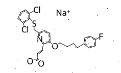 O=C([O-])C=Cc1nc(CSc2c(Cl)cccc2Cl)ccc1OCCCCc1ccc(F)cc1.[Na+]